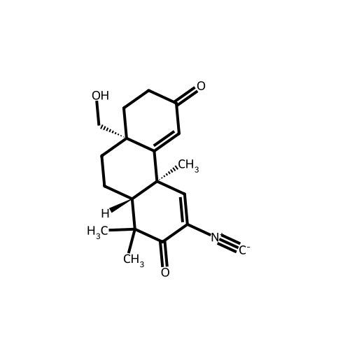 [C-]#[N+]C1=C[C@]2(C)C3=CC(=O)CC[C@]3(CO)CC[C@H]2C(C)(C)C1=O